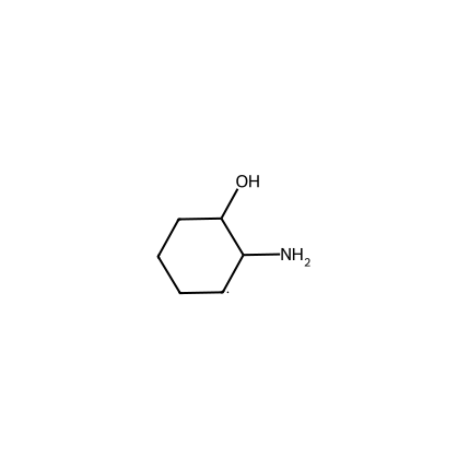 NC1[CH]CCCC1O